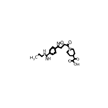 CCCNC(=N)c1ccc(C2=NOC(C(=O)N3CCC(C(=O)C(=O)O)CC3)C2)cc1